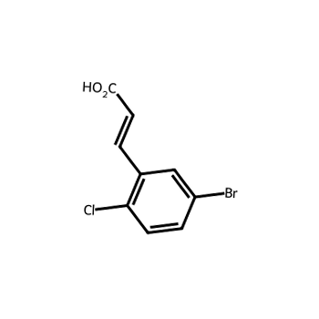 O=C(O)/C=C/c1cc(Br)ccc1Cl